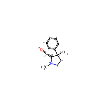 CN1CCC(C)(c2ccccc2)C1=C=O